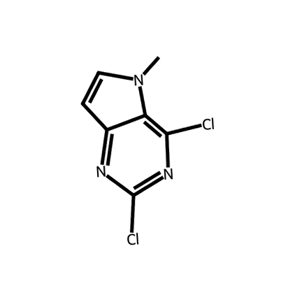 Cn1ccc2nc(Cl)nc(Cl)c21